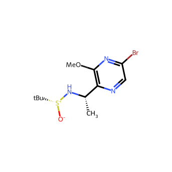 COc1nc(Br)cnc1[C@H](C)N[S@+]([O-])C(C)(C)C